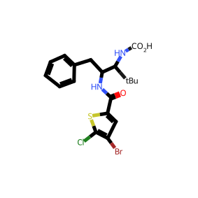 CC(C)(C)C(NC(=O)O)C(Cc1ccccc1)NC(=O)c1cc(Br)c(Cl)s1